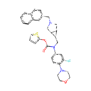 O=C(Oc1cccs1)N(CC1C2CN(Cc3ccc4ccccc4c3)CC21)c1ccc(N2CCOCC2)c(F)c1